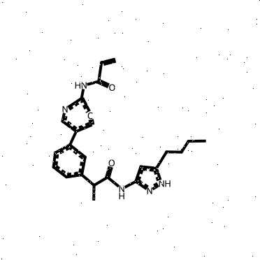 C=CC(=O)Nc1ccc(-c2cccc(C(C)C(=O)Nc3cc(CCCC)[nH]n3)c2)cn1